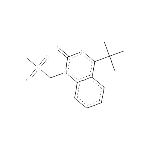 CC(C)(C)c1nc(=O)n(CS(C)(=O)=O)c2ccccc12